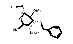 CO[C@H]1[C@H](OCc2ccccc2)[C@H](NC(C)=O)C(O)O[C@@H]1CO